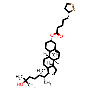 C[C@H](CCCC(C)(C)O)[C@H]1CC[C@H]2[C@@H]3CC=C4C[C@@H](OC(=O)CCCC[C@@H]5CCSS5)CC[C@]4(C)[C@H]3CC[C@]12C